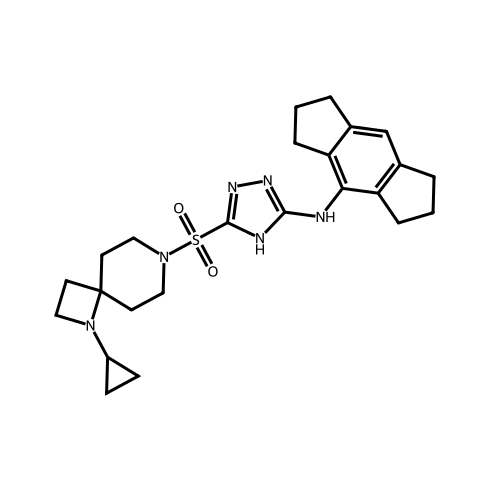 O=S(=O)(c1nnc(Nc2c3c(cc4c2CCC4)CCC3)[nH]1)N1CCC2(CCN2C2CC2)CC1